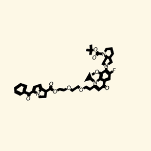 COc1c(N2CC3CCCN(C(=O)OC(C)(C)C)C3C2)c(F)cc2c(=O)cc(CCOCCOCCOC(=O)C3CCn4c(C(=O)c5ccccc5)ccc43)n(C3CC3)c12